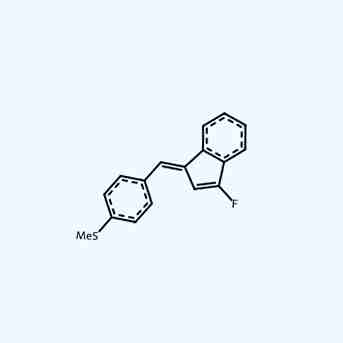 CSc1ccc(C=C2C=C(F)c3ccccc32)cc1